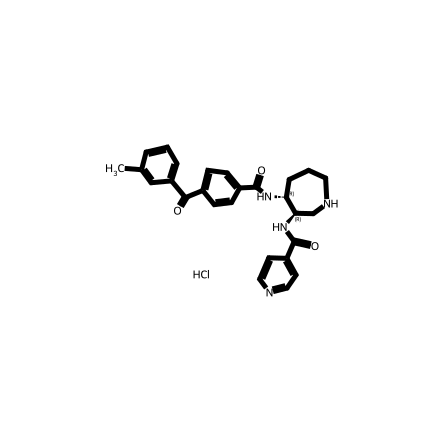 Cc1cccc(C(=O)c2ccc(C(=O)N[C@@H]3CCCNC[C@H]3NC(=O)c3ccncc3)cc2)c1.Cl